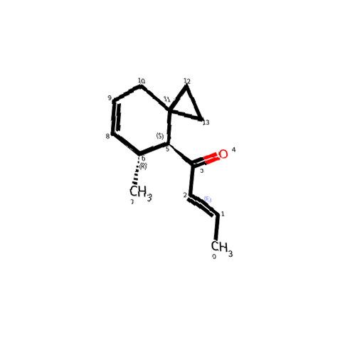 C/C=C/C(=O)[C@H]1[C@H](C)C=CCC12CC2